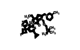 CCc1cn(-c2cc(C3(c4nncn4C)CC(F)C3)cc(C3CC3)n2)c(=O)c2c1cc(CN1CCC[C@H](C)C1)n2COCC[Si](C)(C)C